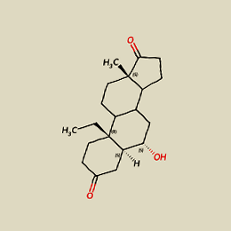 CC[C@]12CCC(=O)C[C@@H]1[C@@H](O)CC1C2CC[C@]2(C)C(=O)CCC12